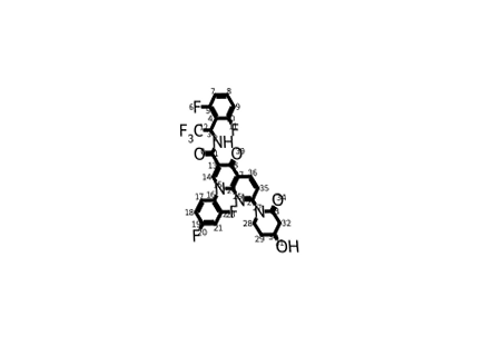 O=C(NC(c1c(F)cccc1F)C(F)(F)F)c1cn(-c2ccc(F)cc2F)c2nc(N3CCC(O)CC3=O)ccc2c1=O